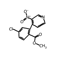 COC(=O)c1ccc(Cl)cc1-c1ccncc1[N+](=O)[O-]